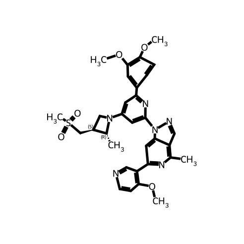 COc1ccc(-c2cc(N3C[C@H](CS(C)(=O)=O)[C@H]3C)cc(-n3ncc4c(C)nc(-c5cnccc5OC)cc43)n2)cc1OC